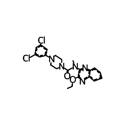 CCOc1nc2ccccc2nc1N(C)C(=O)N1CCN(c2cc(Cl)cc(Cl)c2)CC1